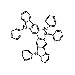 c1ccc(B2c3cc4c5ccccc5n(-c5ccccc5)c4cc3-c3cc4c(cc3N2c2ccccc2)c2ccccc2n4-c2ccccc2)cc1